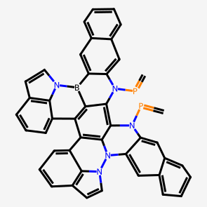 C=PN1c2cc3ccccc3cc2B2c3c(c4c5c(c31)n(P=C)c1cc3ccccc3cc1n-5n1ccc3cccc4c31)-c1cccc3ccn2c13